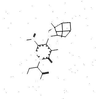 CCC(C(=O)O)n1nc([N+](=O)[O-])c(N[C@@H]2C[C@@H]3C[C@H]([C@H]2C)C3(C)C)c(Br)c1=O